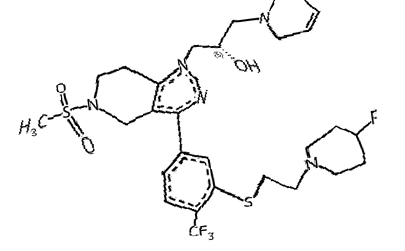 CS(=O)(=O)N1CCc2c(c(-c3ccc(C(F)(F)F)c(SCCN4CCC(F)CC4)c3)nn2C[C@@H](O)CN2CC=CCC2)C1